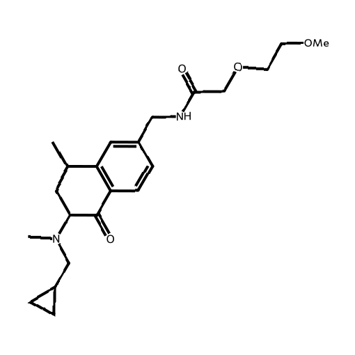 COCCOCC(=O)NCc1ccc2c(c1)C(C)CC(N(C)CC1CC1)C2=O